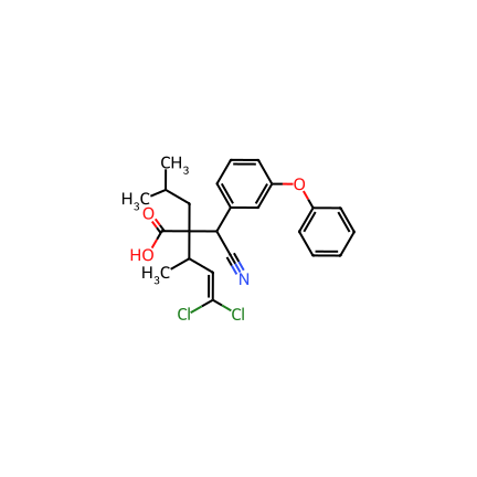 CC(C)CC(C(=O)O)(C(C)C=C(Cl)Cl)C(C#N)c1cccc(Oc2ccccc2)c1